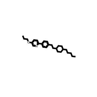 CCCCCC1CCC(CCc2ccc(-c3ccc(OCCC)cn3)cc2)CC1